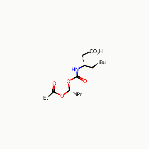 CCC(=O)O[C@H](OC(=O)N[C@H](CC(=O)O)C[C@H](C)CC)C(C)C